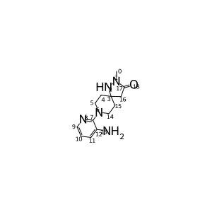 CN1NC2(CCN(c3ncccc3N)CC2)CC1=O